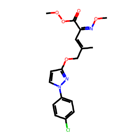 CON=C(C=C(C)COc1ccn(-c2ccc(Cl)cc2)n1)C(=O)OOC